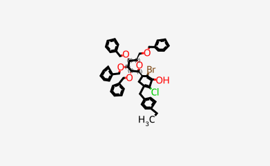 CCc1ccc(CC2=C(Cl)C(O)=C(Br)C([C@@H]3O[C@H](COCc4ccccc4)[C@@H](OCc4ccccc4)[C@H](OCc4ccccc4)[C@H]3OCc3ccccc3)C2)cc1